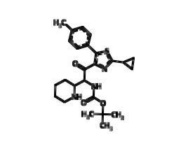 Cc1ccc(-c2sc(C3CC3)nc2C(=O)C(NC(=O)OC(C)(C)C)C2CCCCN2)cc1